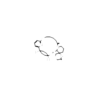 C=[N+]1C(=O)COCC12CCCN1C(=O)CCCCOc3cccc(n3)[C@H]3CC[C@H](CC3)OCC12